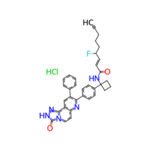 C#CCCCC(F)/C=C/C(=O)NC1(c2ccc(-c3nc4ccn5c(=O)[nH]nc5c4cc3-c3ccccc3)cc2)CCC1.Cl